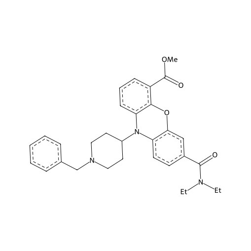 CCN(CC)C(=O)c1ccc2c(c1)Oc1c(C(=O)OC)cccc1N2C1CCN(Cc2ccccc2)CC1